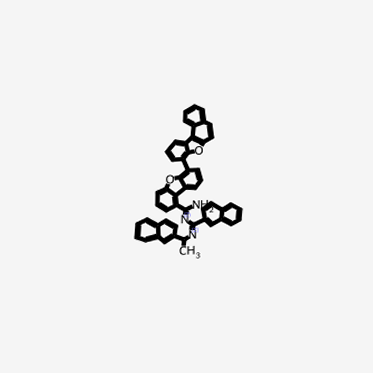 CC(/N=C(\N=C(/N)c1cccc2oc3c(-c4cccc5c4oc4ccc6ccccc6c45)cccc3c12)c1ccc2ccccc2c1)c1ccc2ccccc2c1